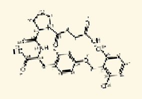 O=C(O)CCC(=O)N1CSC[C@@H]1C(=O)N[C@@H](Cc1ccc(OCc2c(Cl)cccc2Cl)cc1)C(=O)O